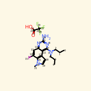 CCCN(CCC)c1nc(N)nc2cc(I)c3c(ccn3C)c12.O=C(O)C(F)(F)F